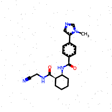 Cn1cncc1-c1ccc(C(=O)N[C@H]2CCCC[C@H]2C(=O)NCC#N)cc1